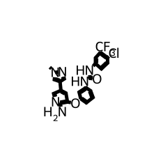 Cn1cc(-c2cnc(N)c(Oc3cccc(NC(=O)Nc4ccc(Cl)c(C(F)(F)F)c4)c3)c2)cn1